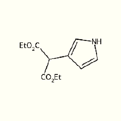 CCOC(=O)C(C(=O)OCC)c1cc[nH]c1